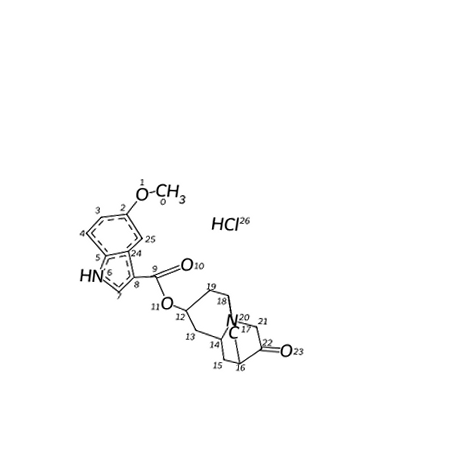 COc1ccc2[nH]cc(C(=O)OC3CC4CC5CC(C3)N4CC5=O)c2c1.Cl